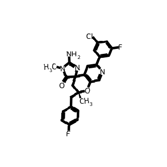 CN1C(=O)C2(C[C@@](C)(Cc3ccc(F)cc3)Oc3cnc(-c4cc(F)cc(Cl)c4)cc32)N=C1N